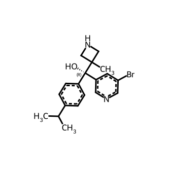 CC(C)c1ccc([C@](O)(c2cncc(Br)c2)C2(C)CNC2)cc1